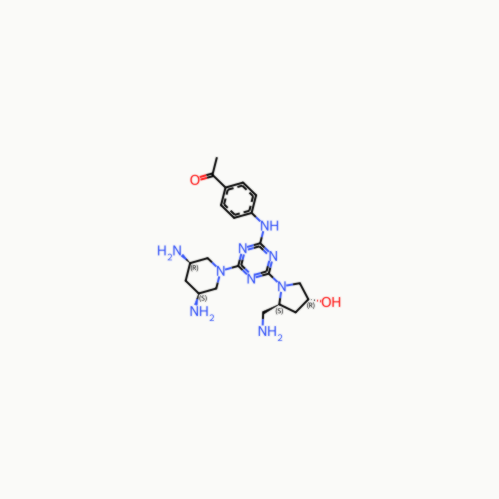 CC(=O)c1ccc(Nc2nc(N3C[C@H](N)C[C@H](N)C3)nc(N3C[C@H](O)C[C@H]3CN)n2)cc1